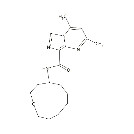 Cc1cc(C)n2cnc(C(=O)NC3CCCCCCCCC3)c2n1